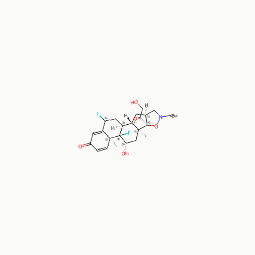 CCC(C)N1C[C@@H]2C[C@H]3[C@@H]4C[C@H](F)C5=CC(=O)C=C[C@]5(C)[C@@]4(F)[C@@H](O)C[C@]3(C)[C@]2(C(=O)CO)O1